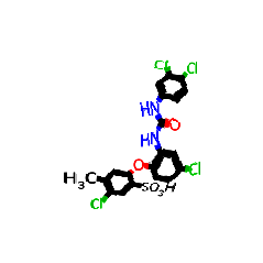 Cc1cc(Oc2ccc(Cl)cc2NC(=O)Nc2ccc(Cl)c(Cl)c2)c(S(=O)(=O)O)cc1Cl